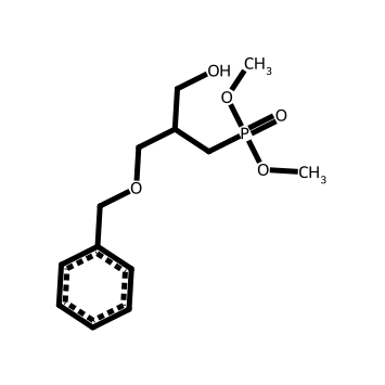 COP(=O)(CC(CO)COCc1ccccc1)OC